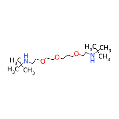 CC(C)(C)NCCOCCCOCCOCCNC(C)(C)C